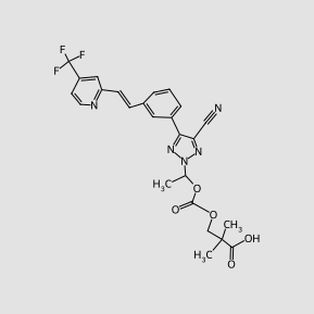 CC(OC(=O)OCC(C)(C)C(=O)O)n1nc(C#N)c(-c2cccc(/C=C/c3cc(C(F)(F)F)ccn3)c2)n1